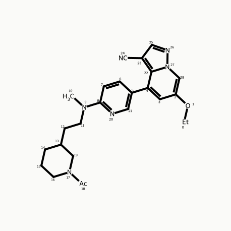 CCOc1cc(-c2ccc(N(C)CCC3CCCN(C(C)=O)C3)nc2)c2c(C#N)cnn2c1